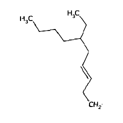 [CH2]CC=CCC(CC)CCCC